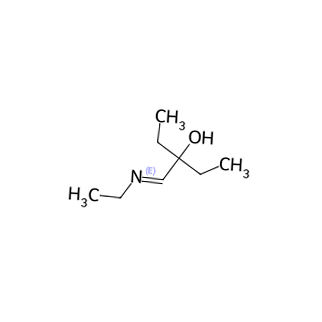 CC/N=C/C(O)(CC)CC